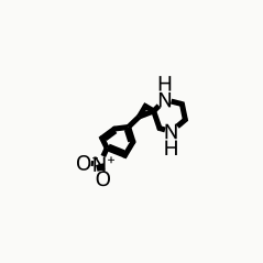 O=[N+]([O-])c1ccc(C2CC23CNCCN3)cc1